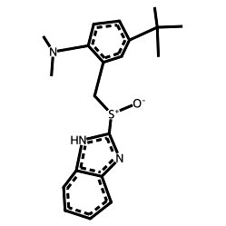 CN(C)c1ccc(C(C)(C)C)cc1C[S+]([O-])c1nc2ccccc2[nH]1